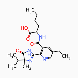 CCCCC(NC(=O)c1cc(CC)cnc1C1=NC(C)(C(C)C)C(=O)N1)C(=O)O